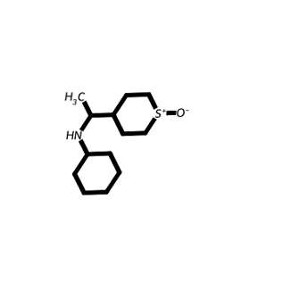 CC(NC1CCCCC1)C1CC[S+]([O-])CC1